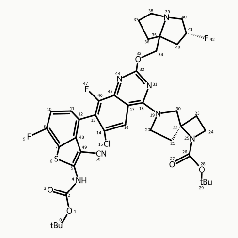 CC(C)(C)OC(=O)Nc1sc2c(F)ccc(-c3c(Cl)cc4c(N5CC[C@@]6(CCN6C(=O)OC(C)(C)C)C5)nc(OCC56CCCN5C[C@H](F)C6)nc4c3F)c2c1C#N